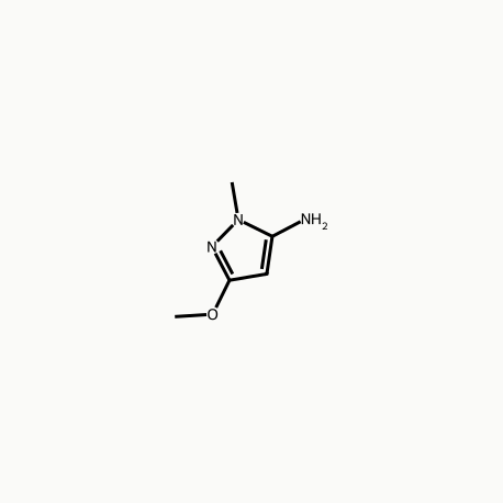 COc1cc(N)n(C)n1